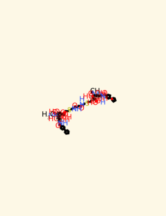 CC(=O)N[C@H]1[C@H]([C@H](O)[C@H](O)CNC(=O)c2ccc(-c3ccccc3)cc2)O[C@@](OCCCSCCNC(=O)CCC(=O)NCCSCCCO[C@]2(C(=O)O)C[C@H](O)[C@@H](NC(C)=O)[C@H]([C@H](O)[C@H](O)CNC(=O)c3ccc(-c4ccccc4)cc3)O2)(C(=O)O)C[C@@H]1O